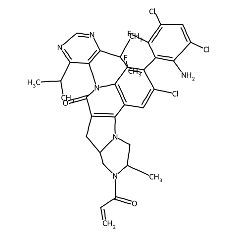 C=CC(=O)N1CC2Cc3c(c4cc(Cl)c(-c5c(N)c(Cl)cc(Cl)c5F)c(F)c4n(-c4c(C(C)C)ncnc4C(C)C)c3=O)N2CC1C